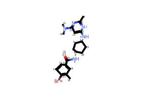 Cc1nc(N[C@H]2CC[C@@H](NC(=O)c3ccc(Br)c(C)c3)CC2)cc(N(C)C)n1